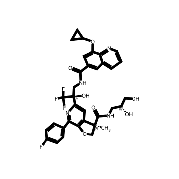 C[C@]1(C(=O)NC[C@@H](O)CO)COc2c1cc([C@@](O)(CNC(=O)c1cc(OC3CC3)c3ncccc3c1)C(F)(F)F)nc2-c1ccc(F)cc1